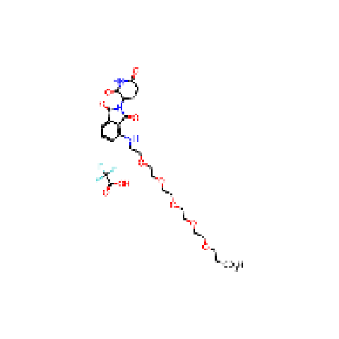 O=C(O)C(F)(F)F.O=C(O)CCOCCOCCOCCOCCOCCNc1cccc2c1C(=O)N(C1CCC(=O)NC1=O)C2=O